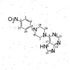 O=[N+]([O-])c1ccc(N2CCN(c3ncnc4nc[nH]c34)CC2)cc1